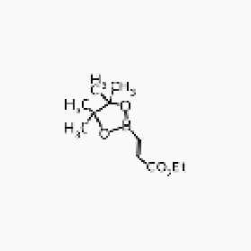 CCOC(=O)C=CB1OC(C)(C)C(C)(C)O1